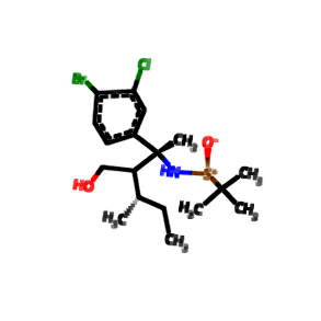 CC[C@H](C)C(CO)[C@@](C)(N[S@@+]([O-])C(C)(C)C)c1ccc(Br)c(Cl)c1